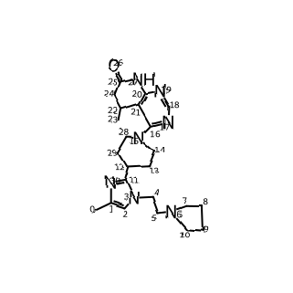 Cc1cn(CCN2CCCC2)c(C2CCN(c3ncnc4c3C(C)CC(=O)N4)CC2)n1